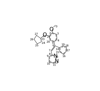 COc1ccc(C(=Cc2cccnn2)c2ccccc2)cc1OC1CCCC1